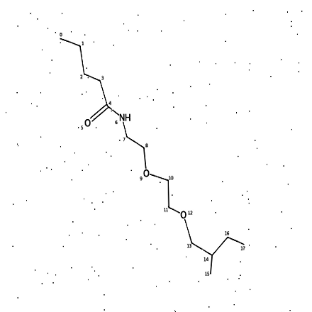 CCCCC(=O)NCCOCCOCC(C)CC